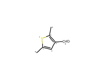 Cc1cc([C]=O)c(C)s1